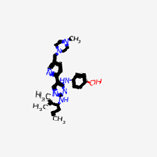 CCCC(Nc1ncc(-c2ccc(CN3CCN(C)CC3)cn2)c(N[C@H]2CC[C@H](O)CC2)n1)C(C)C